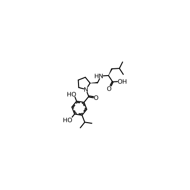 CC(C)C[C@H](NC[C@@H]1CCCN1C(=O)c1cc(C(C)C)c(O)cc1O)C(=O)O